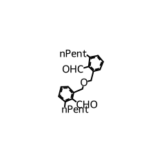 CCCCCc1cccc(COCc2cccc(CCCCC)c2C=O)c1C=O